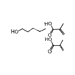 C=C(C)C(=O)O.C=C(C)C(=O)O.CCCCCO